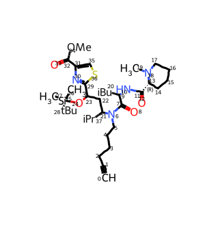 C#CCCCCN(C(=O)C(NC(=O)[C@H]1CCCCN1C)C(C)CC)C(CC(O[Si](C)(C)C(C)(C)C)c1nc(C(=O)OC)cs1)C(C)C